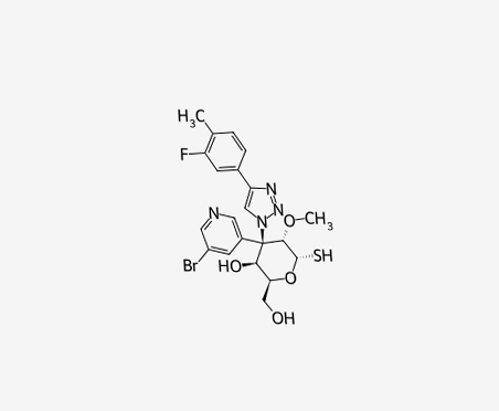 CO[C@@H]1[C@H](S)O[C@@H](CO)[C@@H](O)[C@@]1(c1cncc(Br)c1)n1cc(-c2ccc(C)c(F)c2)nn1